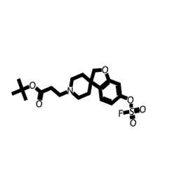 CC(C)(C)OC(=O)CCN1CCC2(CC1)COc1cc(OS(=O)(=O)F)ccc12